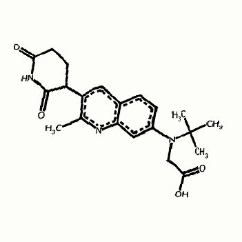 Cc1nc2cc(N(CC(=O)O)C(C)(C)C)ccc2cc1C1CCC(=O)NC1=O